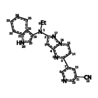 CCN(c1cc2nc(-c3cncc(C#N)c3)ccn2n1)c1c[nH]c2ccccc12